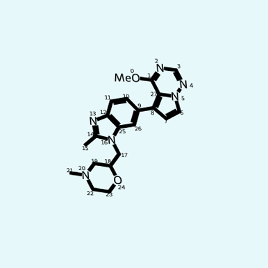 COc1ncnn2ccc(-c3ccc4nc(C)n(CC5CN(C)CCO5)c4c3)c12